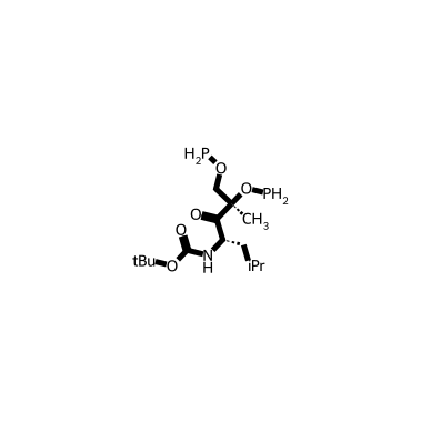 CC(C)C[C@H](NC(=O)OC(C)(C)C)C(=O)[C@@](C)(COP)OP